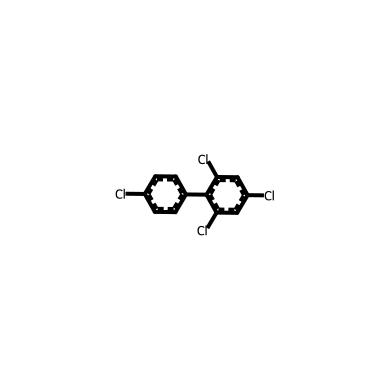 Clc1ccc(-c2c(Cl)cc(Cl)cc2Cl)cc1